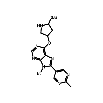 CCn1c(-c2cnc(C)nc2)nc2c(OC3CNC(C(C)(C)C)C3)ncnc21